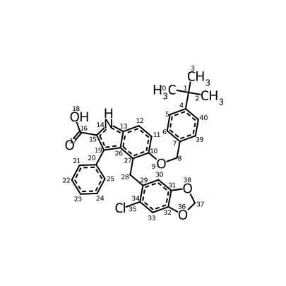 CC(C)(C)c1ccc(COc2ccc3[nH]c(C(=O)O)c(-c4ccccc4)c3c2Cc2cc3c(cc2Cl)OCO3)cc1